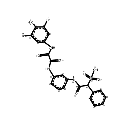 Cc1c(Br)cc(NC(=O)C(=O)Nc2cccc(NC(=O)C(c3ccccc3)S(=O)(=O)O)c2)cc1Br